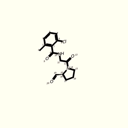 Cc1cccc(Cl)c1C(=O)NCC(=O)N1CCC[C@H]1C=O